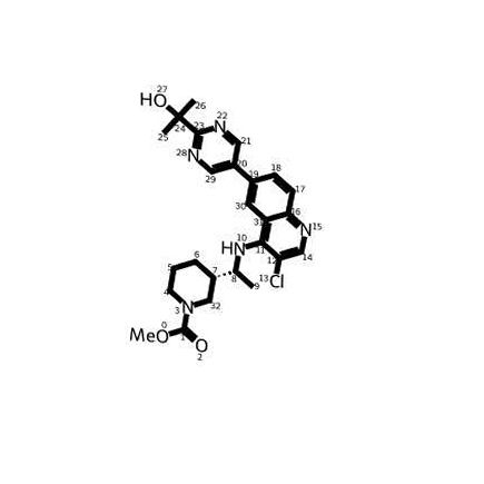 COC(=O)N1CCC[C@H](C(C)Nc2c(Cl)cnc3ccc(-c4cnc(C(C)(C)O)nc4)cc23)C1